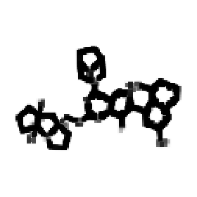 Cc1cccc2cc(O)cc(-c3ncc4c(N5CC6CCC(C5)N6)nc(OC[C@]56CCCN5[C@@H]5CCC[C@@H]5C6)nc4c3F)c12